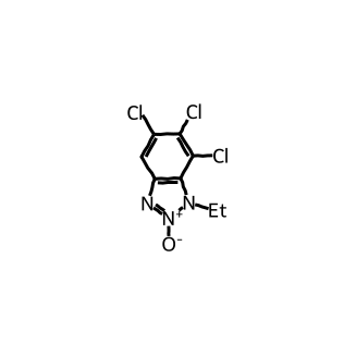 CCn1c2c(Cl)c(Cl)c(Cl)cc2n[n+]1[O-]